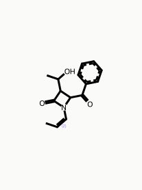 C/C=C\N1C(=O)C(C(C)O)C1C(=O)c1ccccc1